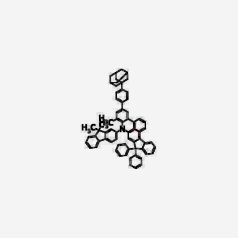 Cc1cc(-c2ccc(C34CC5CC(CC(C5)C3)C4)cc2)cc(-c2ccccc2)c1N(c1ccc2c(c1)C(C)(C)c1ccccc1-2)c1ccc2c(c1)C(c1ccccc1)(c1ccccc1)c1ccccc1-2